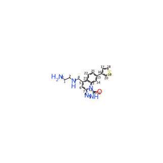 NCCNCc1cc2n[nH]c(=O)n2c2cc(-c3ccsc3)ccc12